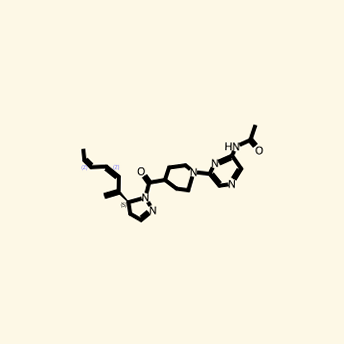 C=C(/C=C\C=C/C)[C@@H]1CC=NN1C(=O)C1CCN(c2cncc(NC(C)=O)n2)CC1